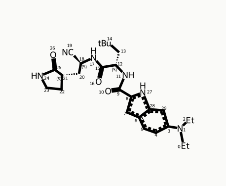 CCN(CC)c1ccc2cc(C(=O)N[C@@H](CC(C)(C)C)C(=O)N[C@H](C#N)C[C@@H]3CCNC3=O)[nH]c2c1